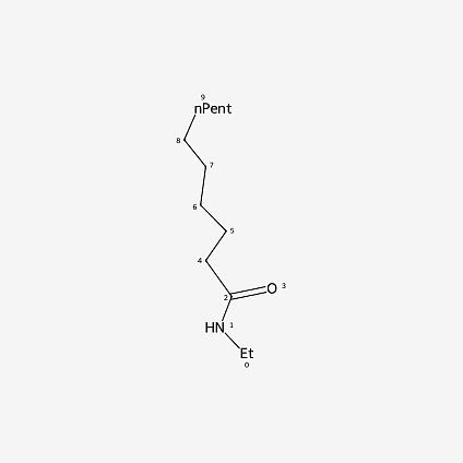 [CH2]CNC(=O)CCCCCCCCCC